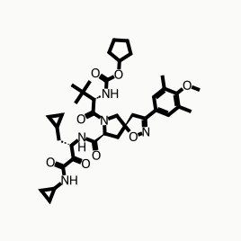 COc1c(C)cc(C2=NO[C@]3(C2)C[C@@H](C(=O)N[C@@H](CC2CC2)C(=O)C(=O)NC2CC2)N(C(=O)[C@@H](NC(=O)OC2CCCC2)C(C)(C)C)C3)cc1C